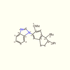 COc1cc2c(cc1-n1cnc3ccccc31)CCC(C(C)C)C2C(C)(C)C